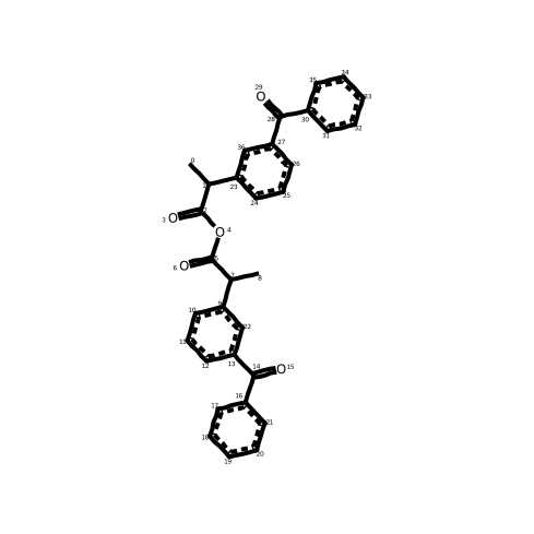 CC(C(=O)OC(=O)C(C)c1cccc(C(=O)c2ccccc2)c1)c1cccc(C(=O)c2ccccc2)c1